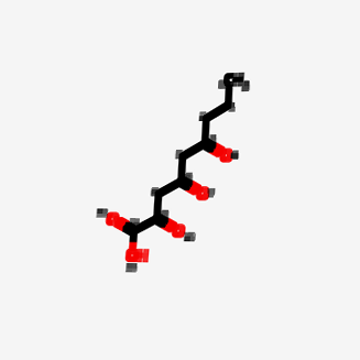 CCCC(=O)CC(=O)CC(=O)C(=O)O